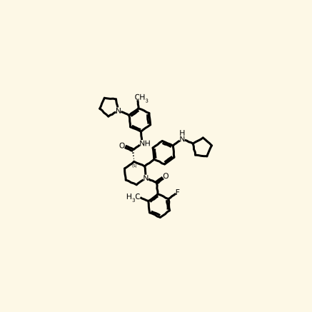 Cc1ccc(NC(=O)[C@H]2CCCN(C(=O)c3c(C)cccc3F)C2c2ccc(NC3CCCC3)cc2)cc1N1CCCC1